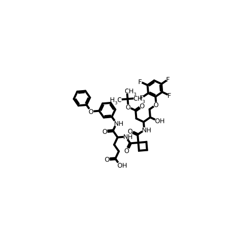 CC(C)(C)OC(=O)CC(NC(=O)C1(C(=O)NC(CCC(=O)O)C(=O)Nc2cccc(Oc3ccccc3)c2)CCC1)C(O)COc1c(F)c(F)cc(F)c1F